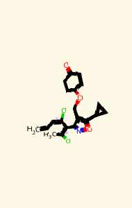 C=C/C=C(Cl)\C(=C(/C)Cl)c1noc(C2CC2)c1COC1CCC(=O)CC1